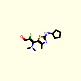 Cc1nc(NC2CCCC2)sc1/C(=C(\F)C=O)N(C)C